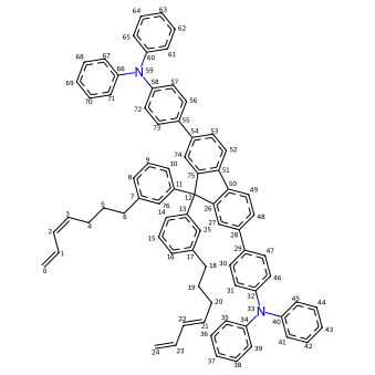 C=C/C=C\CCCc1cccc(C2(c3cccc(CCC/C=C/C=C)c3)c3cc(-c4ccc(N(c5ccccc5)c5ccccc5)cc4)ccc3-c3ccc(-c4ccc(N(c5ccccc5)c5ccccc5)cc4)cc32)c1